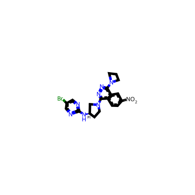 O=[N+]([O-])c1ccc2c(N3CC[C@@H](Nc4ncc(Br)cn4)C3)nnc(N3CCC3)c2c1